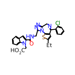 CCc1cc2c(s1)-n1c(nnc1CNC(=O)c1cc3ccccc3n1CC(=O)O)CN=C2c1ccccc1Cl